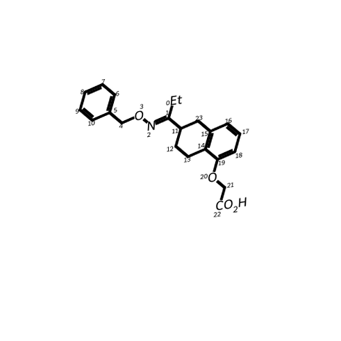 CCC(=NOCc1ccccc1)C1CCc2c(cccc2OCC(=O)O)C1